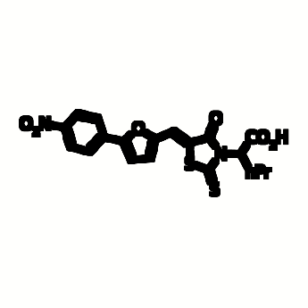 CCCC(C(=O)O)N1C(=O)C(=Cc2ccc(-c3ccc([N+](=O)[O-])cc3)o2)SC1=S